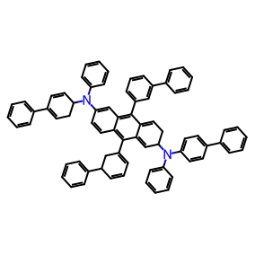 C1=CC(c2ccccc2)CC(c2c3c(c(-c4cccc(-c5ccccc5)c4)c4cc(N(c5ccccc5)C5C=CC(c6ccccc6)=CC5)ccc24)=CCC(N(c2ccccc2)c2ccc(-c4ccccc4)cc2)C=3)=C1